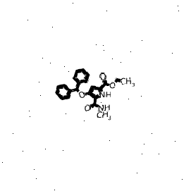 CCOC(=O)c1cc(OC(c2ccccc2)c2ccccc2)c(C(=O)NC)[nH]1